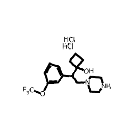 Cl.Cl.OC1(C(CN2CCNCC2)c2cccc(OC(F)(F)F)c2)CCC1